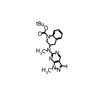 CN(c1ncc2c(I)nn(C)c2n1)C1Cc2ccccc2N(C(=O)OC(C)(C)C)C1